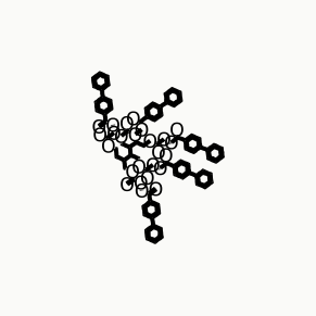 O=C(OCCC(COC(=O)OOC(=O)c1ccc(-c2ccccc2)cc1)C(COC(=O)OOC(=O)c1ccc(-c2ccccc2)cc1)C(CCOC(=O)OOC(=O)c1ccc(-c2ccccc2)cc1)COC(=O)OOC(=O)c1ccc(-c2ccccc2)cc1)OOC(=O)c1ccc(-c2ccccc2)cc1